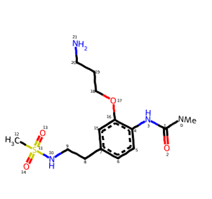 CNC(=O)Nc1ccc(CCNS(C)(=O)=O)cc1OCCCN